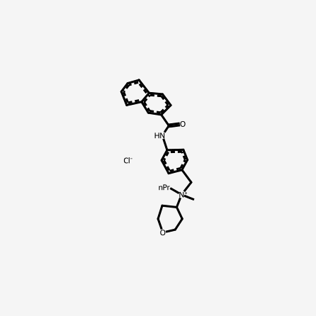 CCC[N+](C)(Cc1ccc(NC(=O)c2ccc3ccccc3c2)cc1)C1CCOCC1.[Cl-]